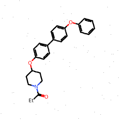 CCC(=O)N1CCC(Oc2ccc(-c3ccc(Oc4ccccc4)cc3)cc2)CC1